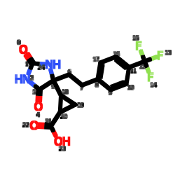 O=C1NC(=O)C(CCc2ccc(C(F)(F)F)cc2)(C2CC2C(=O)O)N1